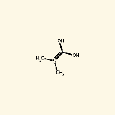 CS(C)=C(O)O